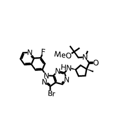 COC(C)(C)CN(C)C(=O)[C@]1(C)CC[C@@H](Nc2ncc3c(Br)nn(-c4cc(F)c5ncccc5c4)c3n2)C1